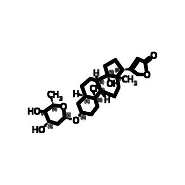 C[C@@H]1O[C@H](O[C@H]2CC[C@@]3(C)[C@H](CC[C@@H]4[C@@H]3CC[C@]3(C)[C@@H](C5=CC(=O)OC5)CC[C@]43O)C2)C[C@H](O)[C@H]1O